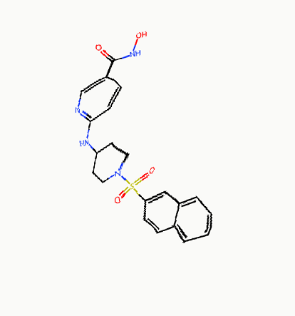 O=C(NO)c1ccc(NC2CCN(S(=O)(=O)c3ccc4ccccc4c3)CC2)nc1